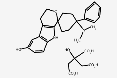 CN(C)C1(c2ccccc2)CCC2(CC1)OCCc1c2[nH]c2ccc(O)cc12.O=C(O)CC(O)(CC(=O)O)C(=O)O